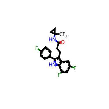 O=C(CCc1c(-c2ccc(F)cc2)[nH]c2c(F)cc(F)cc12)NC1(C(F)(F)F)CC1